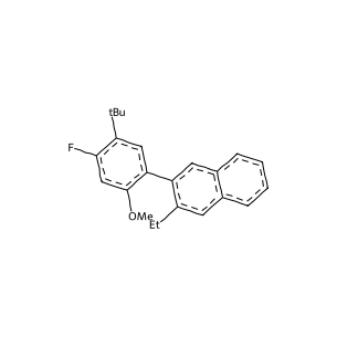 CCc1cc2ccccc2cc1-c1cc(C(C)(C)C)c(F)cc1OC